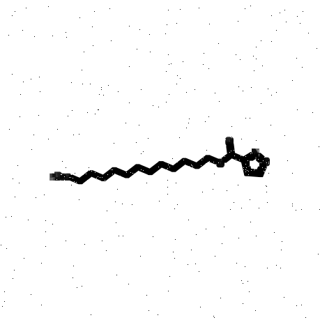 CCCCCCCCCCCCCCCCCCCCCCOC(=O)c1ccon1